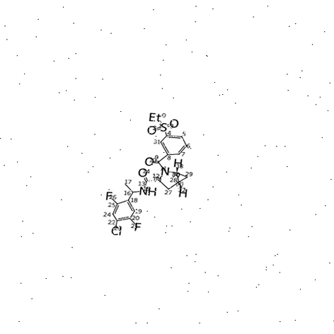 CCS(=O)(=O)c1cccc(C(=O)N2[C@@H](C(=O)NC(C)c3cc(F)c(Cl)cc3F)C[C@H]3C[C@H]32)c1